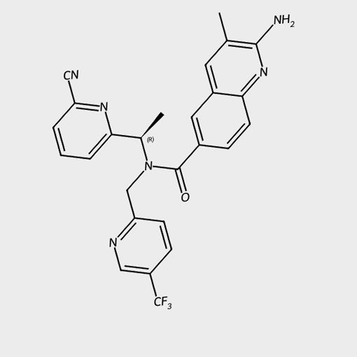 Cc1cc2cc(C(=O)N(Cc3ccc(C(F)(F)F)cn3)[C@H](C)c3cccc(C#N)n3)ccc2nc1N